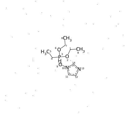 CCO[PH](CC)(OCC)On1ccnc1